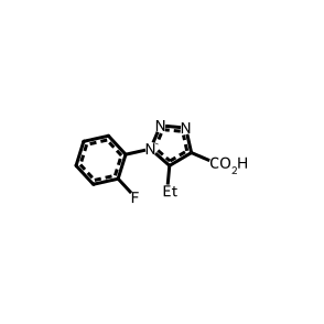 CCc1c(C(=O)O)nnn1-c1ccccc1F